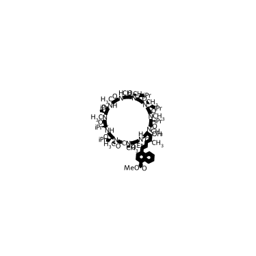 CC[C@@H]1NC(=O)[C@H]([C@H](O)[C@H](C)CC=Cc2ccc(C(=O)OC)c3ccccc23)N(C)C(=O)[C@H](C(C)C)N(C)C(=O)[C@H](CC(C)C)N(C)C(=O)[C@H](CC(C)C)N(C)C(=O)[C@@H](C)NC(=O)[C@H](C)NC(=O)[C@H](CC(C)C)N(C)C(=O)[C@H](C(C)C)NC(=O)[C@H](CC(C)C)N(C)C(=O)CN(C)C1=O